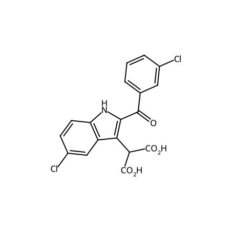 O=C(c1cccc(Cl)c1)c1[nH]c2ccc(Cl)cc2c1C(C(=O)O)C(=O)O